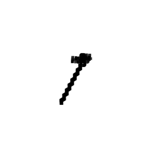 CCCCCCCCCCCCCCCCO[N+]([O-])(O)O